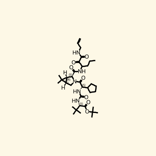 C=CCNC(=O)C(=O)C(CCC)NC(=O)[C@@H]1[C@@H]2[C@H](CN1C(=O)[C@@H](NC(=O)N[C@H](C(=O)OC(C)(C)C)C(C)(C)C)C1CCCC1)C2(C)C